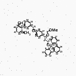 COCOC(CCOC(c1ccccc1)(c1ccccc1)c1ccccc1)c1ccc(OCc2cccc(-c3c(C)cccc3C)c2)nc1